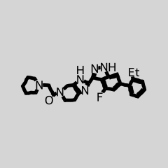 CCc1ccccc1-c1cc(F)c2c(-c3nc4c([nH]3)CN(C(=O)CN3CCCCC3)CC4)n[nH]c2c1